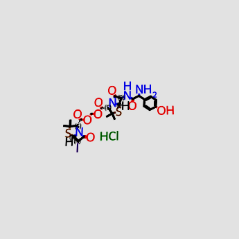 CC1(C)S[C@@H]2[C@H](I)C(=O)N2[C@H]1C(=O)OCOC(=O)[C@@H]1N2C(=O)[C@@H](NC(=O)C(N)c3ccc(O)cc3)[C@H]2SC1(C)C.Cl